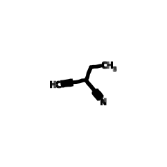 C#CC(C#N)CC